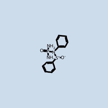 NP(N)(=O)N(c1ccccc1)[S+]([O-])c1ccccc1